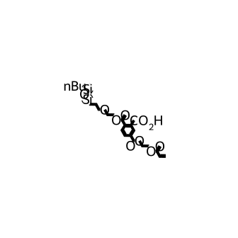 C=CC(=O)OCCOC(=O)c1ccc(C(=O)OCCOCCC[Si](C)(C)O[Si](C)(C)CCCC)c(C(=O)O)c1